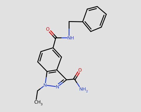 CCn1nc(C(N)=O)c2cc(C(=O)NCc3ccccc3)ccc21